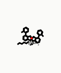 CCCCC[CH2][Hf]([CH3])([CH3])([CH3])(=[SiH2])([CH]1C=Cc2c(-c3ccccc3C)cccc21)[CH]1C=Cc2c(-c3ccccc3C)cccc21